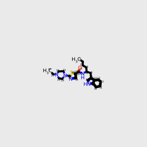 CCCCC(Cc1c[nH]c2ccccc12)NC(=O)c1cnc(N2CCN(CC)CC2)s1